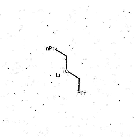 CCCC[Te]CCCC.[Li]